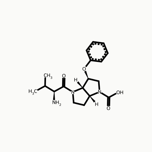 CC(C)[C@H](N)C(=O)N1CC[C@@H]2[C@H]1[C@@H](Oc1ccccc1)CN2C(=O)O